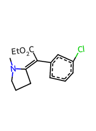 CCOC(=O)/C(=C1/CCCN1C)c1cccc(Cl)c1